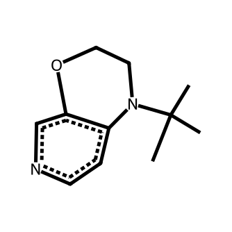 CC(C)(C)N1CCOc2cnccc21